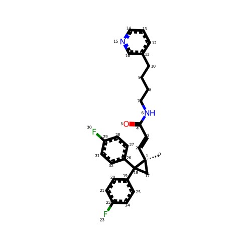 C[C@]1(/C=C/C(=O)NCCCCc2cccnc2)CC1(c1ccc(F)cc1)c1ccc(F)cc1